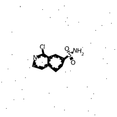 NS(=O)(=O)c1ccc2ccnc(Cl)c2c1